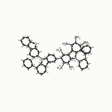 Bc1c(B)c(B)c2c(c1B)c1c(B)c(-c3ccc4c(c3)c3cccc(-c5ccccc5)c3n4-c3ccc4c(c3)oc3ccccc34)c(B)c(B)c1n2-c1ccccc1-c1ccccc1